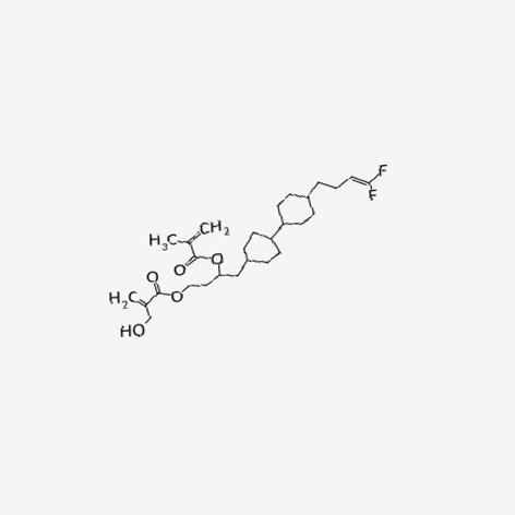 C=C(C)C(=O)OC(CCOC(=O)C(=C)CO)CC1CCC(C2CCC(CCC=C(F)F)CC2)CC1